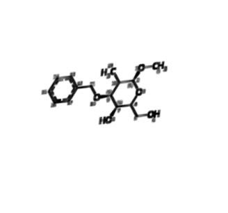 CO[C@H]1OC(CO)[C@@H](O)[C@@H](OCc2ccccc2)C1C